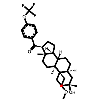 COCC[C@]12CC[C@@](C)(O)C[C@@H]1CC[C@H]1[C@@H]3CC[C@H](C(=O)c4ccc(OC(F)(F)F)cc4)[C@@]3(C)CC[C@@H]12